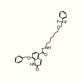 O=C(CNCCCCCCOCC(F)(F)c1ccccc1)c1ccc(OCc2ccccc2)c2[nH]c(=O)ccc12